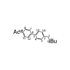 CCC(C)Cc1ccc(-c2ccc(C(C)=O)cc2)cc1